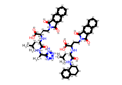 CC(C)C[C@H](NC(CCN1C(=O)c2cc3ccccc3cc2C1=O)C(=O)O)C(=O)NC1CCCc2ccccc21.CC(C)C[C@H](N[C@H](CCN1C(=O)c2cc3ccccc3cc2C1=O)C(=O)O)C(=O)NC(C)c1nnn[nH]1